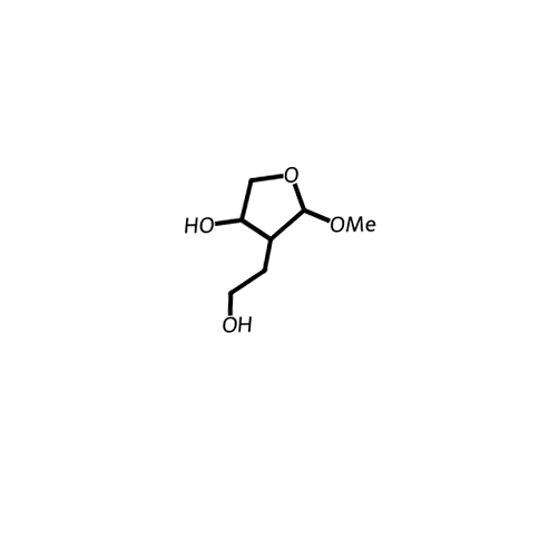 COC1OCC(O)C1CCO